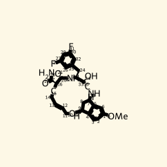 COc1ccc2c(c1)[C@@H]1C[C@H]2OC/C=C/CC[C@@H](C(N)=O)C(=O)N[C@@H](Cc2cc(F)cc(F)c2)[C@H](O)CN1